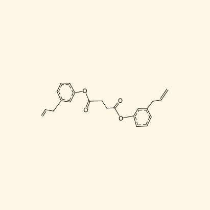 C=CCc1cccc(OC(=O)CCC(=O)Oc2cccc(CC=C)c2)c1